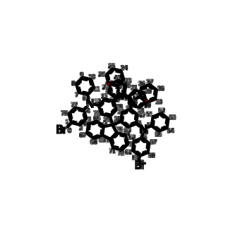 Brc1ccc(N(c2ccccc2)c2cc(N(c3ccccc3)c3ccccc3)cc(C3(c4cc(N(c5ccccc5)c5ccccc5)cc(N(c5ccccc5)c5ccc(Br)cc5)c4)c4ccccc4-c4ccccc43)c2)cc1